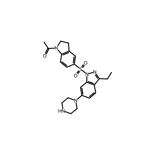 CCc1nn(S(=O)(=O)c2ccc3c(c2)CCN3C(C)=O)c2cc(N3CCNCC3)ccc12